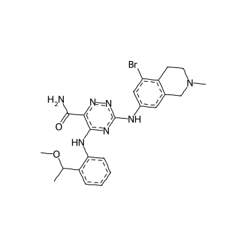 COC(C)c1ccccc1Nc1nc(Nc2cc(Br)c3c(c2)CN(C)CC3)nnc1C(N)=O